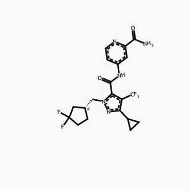 NC(=O)c1cc(NC(=O)c2c(C(F)(F)F)c(C3CC3)nn2C[C@@H]2CCC(F)(F)C2)ccn1